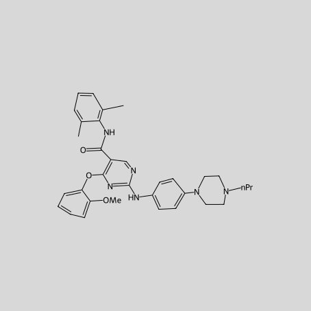 CCCN1CCN(c2ccc(Nc3ncc(C(=O)Nc4c(C)cccc4C)c(Oc4ccccc4OC)n3)cc2)CC1